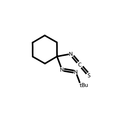 CC(C)(C)/N=N/C1(N=C=S)CCCCC1